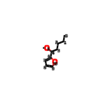 CCCCC([O])c1ccco1